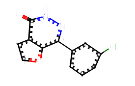 O=c1[nH]nc(-c2cccc(Cl)c2)c2occc12